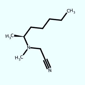 CCCCC[C@H](C)N(C)CC#N